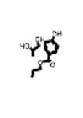 CC(O)CO.CCCOC(=O)c1ccc(O)cc1